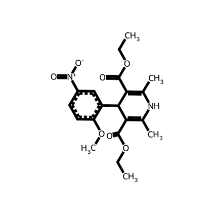 CCOC(=O)C1=C(C)NC(C)=C(C(=O)OCC)C1c1cc([N+](=O)[O-])ccc1OC